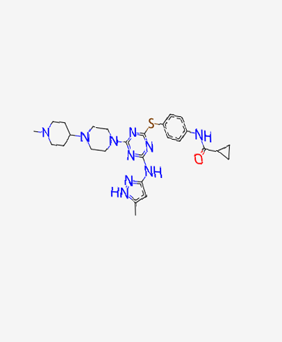 Cc1cc(Nc2nc(Sc3ccc(NC(=O)C4CC4)cc3)nc(N3CCN(C4CCN(C)CC4)CC3)n2)n[nH]1